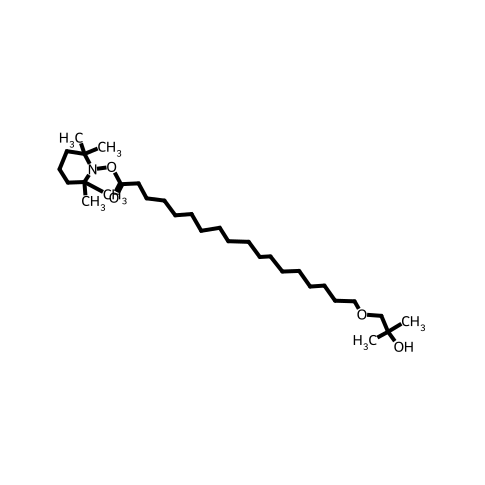 CC(C)(O)COCCCCCCCCCCCCCCCCCC(=O)ON1C(C)(C)CCCC1(C)C